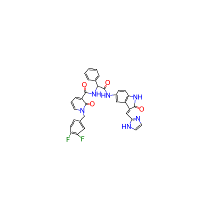 O=C1Nc2ccc(NC(=O)C(NC(=O)c3cccn(Cc4ccc(F)c(F)c4)c3=O)c3ccccc3)cc2C1=Cc1ncc[nH]1